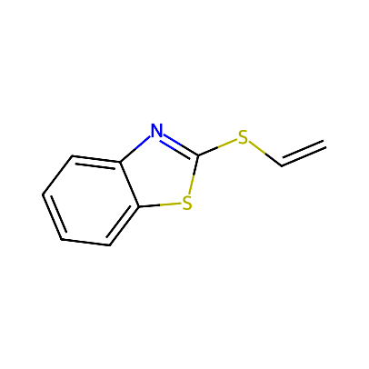 C=CSc1nc2ccccc2s1